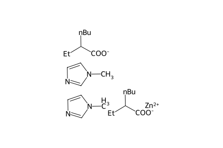 CCCCC(CC)C(=O)[O-].CCCCC(CC)C(=O)[O-].Cn1ccnc1.Cn1ccnc1.[Zn+2]